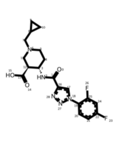 O=C(N[C@H]1CCN(CC2CC2)C[C@@H]1C(=O)O)c1cn(-c2ccc(F)cc2F)nn1